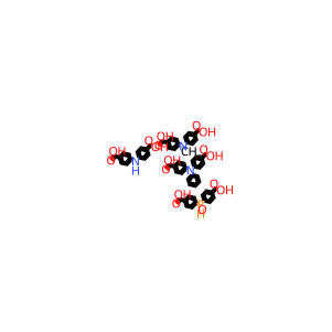 CN(c1ccc(C(=O)O)cc1)c1ccc(C(=O)O)cc1.O=C(O)c1ccc(N(c2ccccc2)c2ccc(C(=O)O)cc2)cc1.O=C(O)c1ccc(Nc2ccc(C(=O)O)cc2)cc1.O=C(O)c1ccc([PH](=O)c2ccc(C(=O)O)cc2)cc1